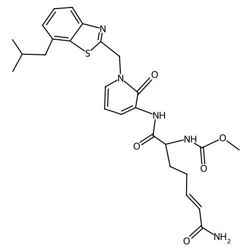 COC(=O)NC(CCC=CC(N)=O)C(=O)Nc1cccn(Cc2nc3cccc(CC(C)C)c3s2)c1=O